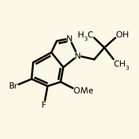 COc1c(F)c(Br)cc2cnn(CC(C)(C)O)c12